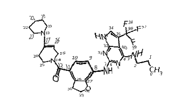 CCCNc1nc(Nc2ccc(C(=O)N3CCC(N4CCCCC4)CC3)c3c2OCC3)nc2[nH]cc(C(F)(F)F)c12